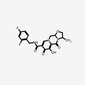 CC1COC2Cn3cc(C(=O)NCc4ccc(F)cc4F)c(=O)c(O)c3C(=O)N12